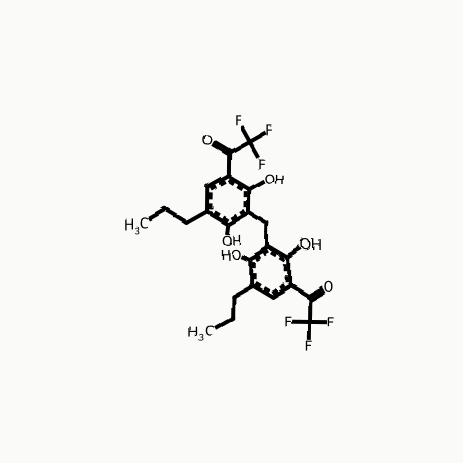 CCCc1cc(C(=O)C(F)(F)F)c(O)c(Cc2c(O)c(CCC)cc(C(=O)C(F)(F)F)c2O)c1O